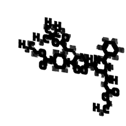 CCOC(=O)CNc1cc(C(=O)N[C@@H](CCC(=O)OC(C)(C)C)C(=O)N2CCN(C(=O)OCC)CC2)nc(-c2ccccc2)n1